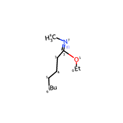 CCO/C(CCCC(C)CC)=N/C